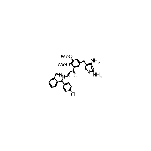 COc1cc(Cc2cnc(N)nc2N)cc(C(=O)/C=C/N2N=Cc3ccccc3C2c2ccc(Cl)cc2)c1OC